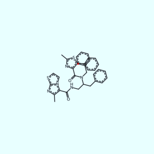 Cc1nc(C(=O)N(Cc2ccccc2)C(CNC(=O)c2c(C)nc3sccn23)Cc2ccccc2)c(-c2ccccc2)s1